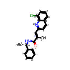 CCCC[C@H](NC(=O)/C(C#N)=C/c1ccc2cccc(Cl)c2n1)c1ccccc1